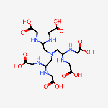 O=C(O)CNC(CN(CC(NCC(=O)O)NCC(=O)O)CC(NCC(=O)O)NCC(=O)O)NCC(=O)O